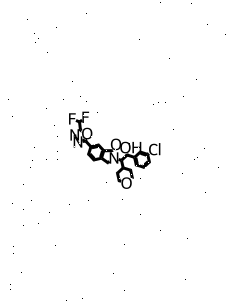 O=C1c2cc(-c3nnc(C(F)F)o3)ccc2CN1C(C1CCOCC1)C(O)c1cccc(Cl)c1